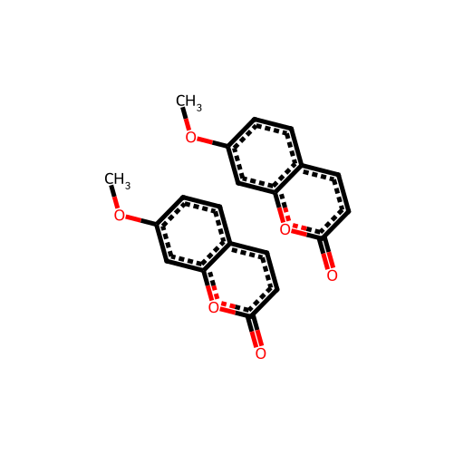 COc1ccc2ccc(=O)oc2c1.COc1ccc2ccc(=O)oc2c1